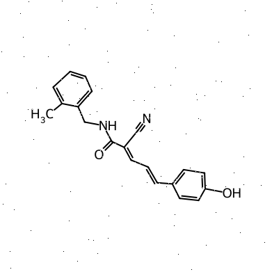 Cc1ccccc1CNC(=O)/C(C#N)=C/C=C/c1ccc(O)cc1